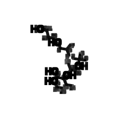 CC(C)(C)O.CC(C)CO.CC(C)O.CCCCO.CCCO.CCO